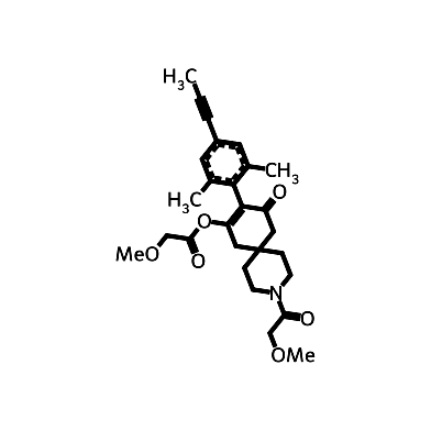 CC#Cc1cc(C)c(C2=C(OC(=O)COC)CC3(CCN(C(=O)COC)CC3)CC2=O)c(C)c1